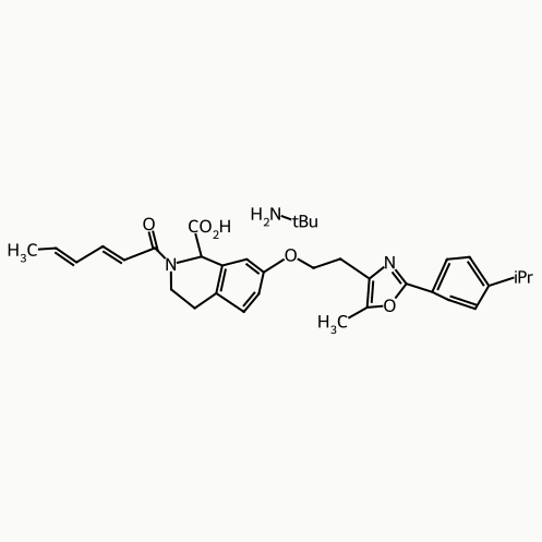 CC(C)(C)N.CC=CC=CC(=O)N1CCc2ccc(OCCc3nc(-c4ccc(C(C)C)cc4)oc3C)cc2C1C(=O)O